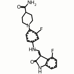 NC(=O)C1CCN(c2ccc(N/C=C3\C(=O)Nc4cccc(F)c43)cc2F)CC1